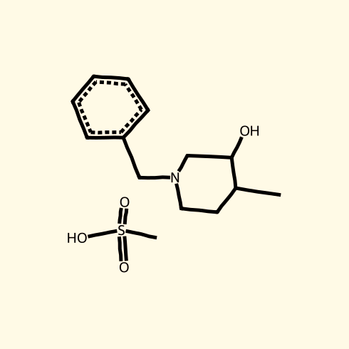 CC1CCN(Cc2ccccc2)CC1O.CS(=O)(=O)O